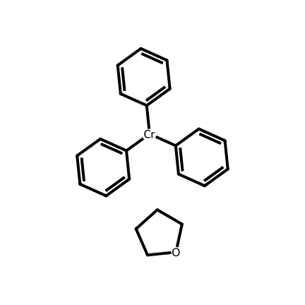 C1CCOC1.c1cc[c]([Cr]([c]2ccccc2)[c]2ccccc2)cc1